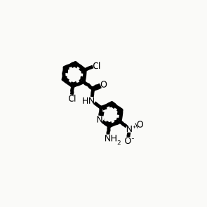 Nc1nc(NC(=O)c2c(Cl)cccc2Cl)ccc1[N+](=O)[O-]